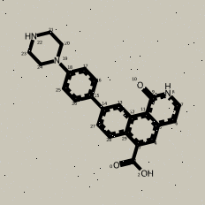 O=C(O)c1cc2cc[nH]c(=O)c2c2cc(-c3ccc(N4CCNCC4)cc3)ccc12